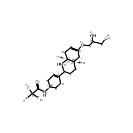 O=C(N[C@H]1CC=C(C2CC[C@@H]3CC(OCC(O)CO)=CC[C@@H]3N2)CC1)C(F)(F)F